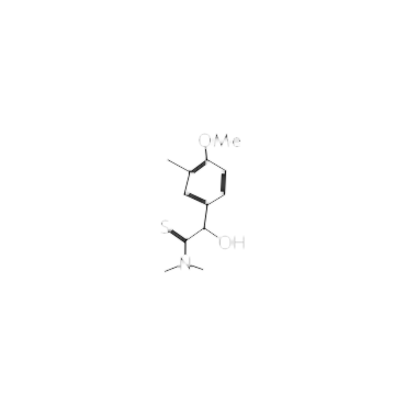 COc1ccc(C(O)C(=S)N(C)C)cc1C